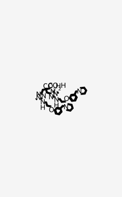 Cn1nc(CC(CC(=O)O)(Cc2nc(NCCCOc3cccc(CN4CCCCC4)c3)n(C)n2)C(=O)O)nc1NCCCOc1cccc(CN2CCCCC2)c1